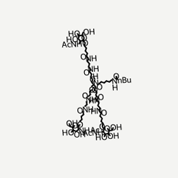 CCCCC(=O)NCCCCCC(=O)NC(COCCC(=O)NCCCNC(=O)CCCCOC1OC(CO)C(O)C(O)C1NC(C)=O)(COCCC(=O)NCCCNC(=O)CCCCOC1OC(CO)C(O)C(O)C1NC(C)=O)COCCC(=O)NCCCNC(=O)CCCCOC1OC(CO)C(O)C(O)C1NC(C)=O